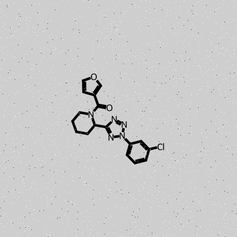 O=C(c1ccoc1)N1CCCCC1c1nnn(-c2cccc(Cl)c2)n1